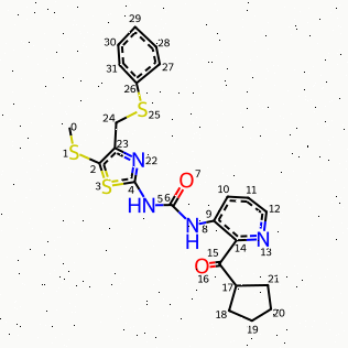 CSc1sc(NC(=O)Nc2cccnc2C(=O)C2CCCC2)nc1CSc1ccccc1